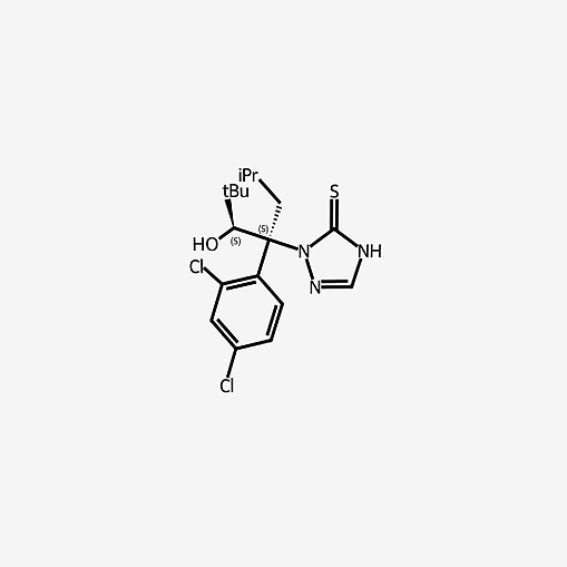 CC(C)C[C@](c1ccc(Cl)cc1Cl)([C@@H](O)C(C)(C)C)n1nc[nH]c1=S